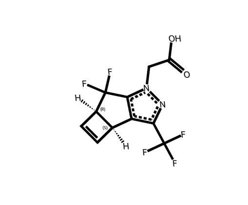 O=C(O)Cn1nc(C(F)(F)F)c2c1C(F)(F)[C@@H]1C=C[C@H]21